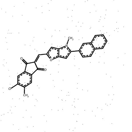 Cc1cc2c(cc1Cl)C(=O)/C(=C/c1cc3c(cc(-c4ccc5ccccc5c4)n3C)o1)C2=O